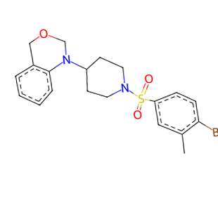 Cc1cc(S(=O)(=O)N2CCC(N3COCc4ccccc43)CC2)ccc1Br